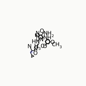 COc1cc(Nc2nc(NCC3CN(C(=O)/C(C#N)=C\C4CC4)C3)n3ccnc3c2C(N)=O)cc(OC)c1